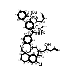 C=CC[C@H](O)[C@@H]1CC[C@H]1CN1C[C@@]2(CCCc3cc(Cl)ccc32)COc2ccc(C(=O)NS(=O)(=O)C[C@@H](C=C)CO[Si](c3ccccc3)(c3ccccc3)C(C)(C)C)cc21